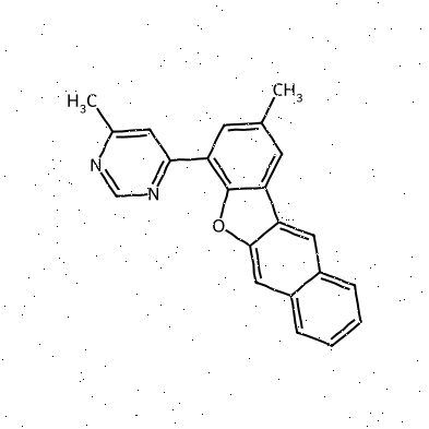 Cc1cc(-c2cc(C)ncn2)c2oc3cc4ccccc4cc3c2c1